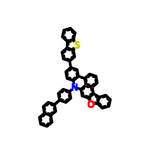 c1ccc(-c2cc(-c3ccc4c(c3)sc3ccccc34)ccc2N(c2ccc(-c3ccc4ccccc4c3)cc2)c2ccc3c(c2)oc2ccccc23)cc1